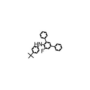 CC(C)(C)c1ccc(Nc2c(F)cc(-c3ccccc3)cc2-c2ccccc2)cc1